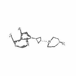 CC(=O)N1CCN([C@H]2C[C@H](n3cc(Br)c4c(Cl)ncnc43)C2)CC1